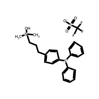 C[Si](C)(O)CCCc1ccc([S+](c2ccccc2)c2ccccc2)cc1.O=S(=O)([O-])C(F)(F)F